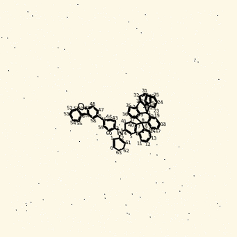 C1=CC(N(C2=CC=C(C3(c4ccccc4)c4ccccc4C4(c5ccccc5)c5ccccc5-c5cccc3c54)CC2)c2ccc(-c3ccc4oc5ccccc5c4c3)cc2)=CCC1